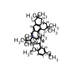 COc1ccc(OC)c(-c2nnc3/c(=C\c4cc5c6c(c4C)CC(C)(C)CN6CC(C)(C)C5)c(C(C)(C)C)nn23)c1